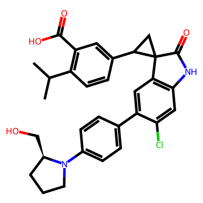 CC(C)c1ccc(C2CC23C(=O)Nc2cc(Cl)c(-c4ccc(N5CCC[C@H]5CO)cc4)cc23)cc1C(=O)O